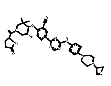 CC1(C)CN(C(=O)C2CCC(=O)N2)C[C@@H](F)[C@H]1Oc1ccc(-c2ncnc(Nc3ccc(N4CCN(C5COC5)CC4)cc3)n2)cc1C#N